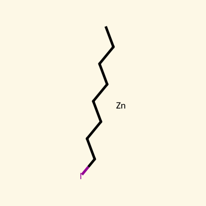 CCCCCCCCI.[Zn]